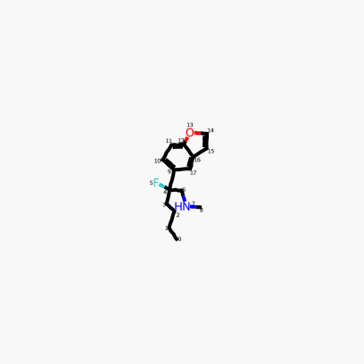 CCCCC(F)(CNC)c1ccc2occc2c1